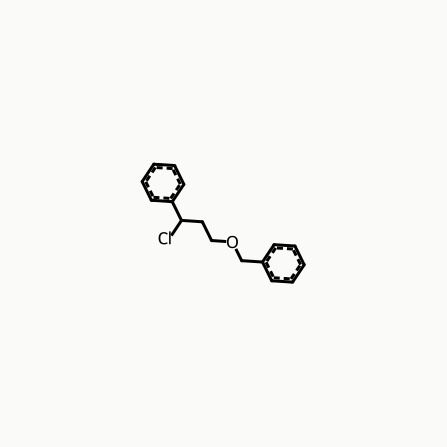 ClC(CCOCc1ccccc1)c1ccccc1